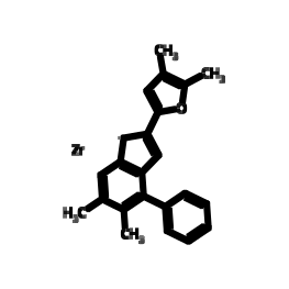 Cc1cc(C2=Cc3c(cc(C)c(C)c3-c3ccccc3)[CH]2)oc1C.[Zr]